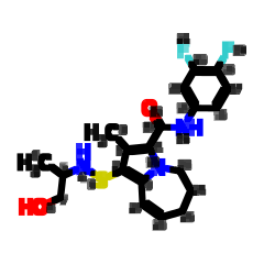 Cc1c(SNC(C)CO)c2n(c1C(=O)Nc1ccc(F)c(F)c1)CCCC=C2